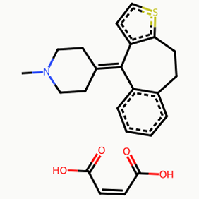 CN1CCC(=C2c3ccccc3CCc3sccc32)CC1.O=C(O)/C=C\C(=O)O